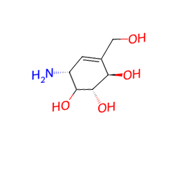 N[C@@H]1C=C(CO)[C@@H](O)[C@H](O)C1O